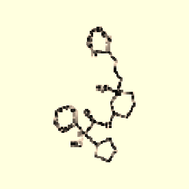 C[N+]1(CCCc2ncccn2)CCCC(OC(=O)[C@](O)(c2ccccc2)C2CCCC2)C1